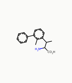 Cc1c(-c2ccccc2)cccc1C(C)C(N)C(=O)O